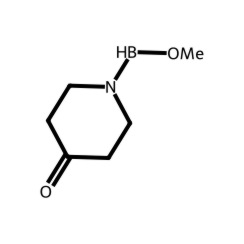 COBN1CCC(=O)CC1